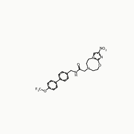 O=C(CN1CCOc2nc([N+](=O)[O-])cn2CC1)NCc1ccc(-c2ccc(OC(F)(F)F)cc2)cc1